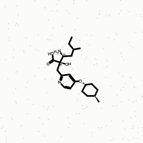 CCC(C)C[C@H](N)[C@](O)(Cc1cc(O[C@H]2CC[C@H](C)CC2)ccn1)C(=O)O